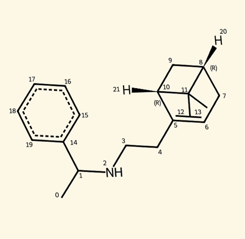 CC(NCCC1=CC[C@H]2C[C@@H]1C2(C)C)c1ccccc1